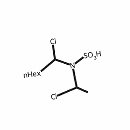 CCCCCCC(Cl)N(C(C)Cl)S(=O)(=O)O